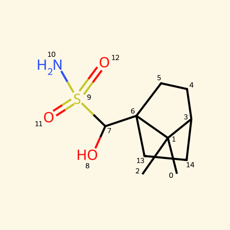 CC1(C)C2CCC1(C(O)S(N)(=O)=O)CC2